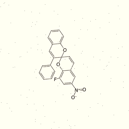 O=[N+]([O-])c1cc(F)c2c(c1)C=CC1(Oc3ccccc3C=C1c1ccccc1)O2